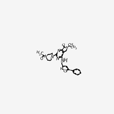 CC(=O)N1CCN(c2nc(NCc3cc(-c4ccccc4)on3)c3c(n2)C(=O)N(C(C)C)C3)CC1